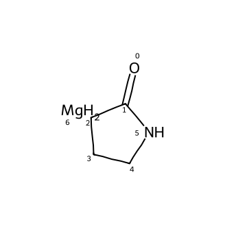 O=C1CCCN1.[MgH2]